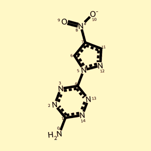 Nc1nnc(-n2cc([N+](=O)[O-])cn2)nn1